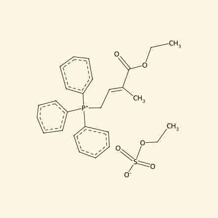 CCOC(=O)/C(C)=C/C[P+](c1ccccc1)(c1ccccc1)c1ccccc1.CCOS(=O)(=O)[O-]